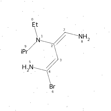 CCN(C(/C=C(\N)Br)=C/N)C(C)C